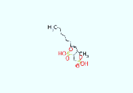 CCCCCCC=CC(C)C(CS(=O)(=O)O)S(=O)(=O)O